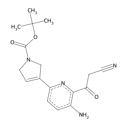 CC(C)(C)OC(=O)N1CC=C(c2ccc(N)c(C(=O)CC#N)n2)C1